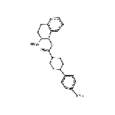 CCCCCCCCCCc1ccc(C2CCC(C(=O)OC3c4ccccc4CCC3C(=O)O)CC2)cc1